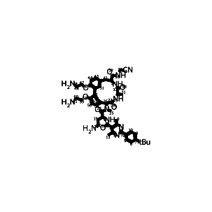 Cc1nc(-c2ccc(C(C)(C)C)cc2)nc(C)c1C(=O)NC(CCN)C(=O)N(C)C1C(=O)NC(C)C(=O)NC(C(=O)NCC#N)Cc2ccc(OCCN)c(c2)-c2cc1ccc2OCCN